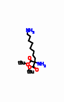 CC(C)(C)OC(=O)C(N)(CCCCCCCCN)C(=O)OC(C)(C)C